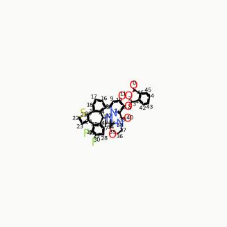 O=C1OC(Oc2c3n(ccc2=O)N([C@@H]2c4ccccc4-c4sccc4-c4c2ccc(F)c4F)[C@@H]2COCCN2C3=O)c2ccccc21